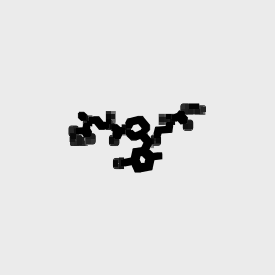 COC(=O)NCCO[C@@H](c1cc(Cl)ccc1C)[C@@H]1CCCN(C(=O)NCCN(C)C(=O)OC(C)(C)C)C1